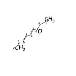 C=CC=CC=CC(=O)CCC